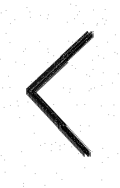 [Fe].[Fe].[Fe].[Fe].[Fe].[Fe].[Fe].[Fe].[Fe].[Fe].[Fe].[Fe].[Fe].[Fe].[Fe].[Fe].[Fe].[Fe].[Fe].[Fe].[Fe].[Fe].[Fe].[Fe].[Fe].[Fe].[Fe].[Fe].[Fe].[Fe].[Fe].[Fe].[Fe].[Fe].[Fe].[Fe].[Fe].[Fe].[Fe].[Fe].[Fe].[Fe].[Fe].[Fe].[Fe].[Fe].[Fe].[Fe].[Fe].[Fe].[Fe].[Fe].[Fe].[Fe].[Fe].[Ni].[Ni].[Ni].[Ni].[Ni].[Ni].[Ni].[Ni].[Ni].[Ni].[Ni].[Ni].[Ni].[Ni].[Ni].[Ni].[Ni].[Ni].[Ni].[Ni].[Ni].[Ni].[Ni].[Ni].[Ni].[Ni].[Ni].[Ni].[Ni].[Ni].[Ni].[Ni].[Ni].[Ni].[Ni].[Ni].[Ni].[Ni].[Ni].[Ni].[Ni].[Ni].[Ni].[Ni].[Ni]